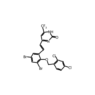 O=c1nc(/C=C/c2cc(Br)cc(Br)c2OCc2ccc(Cl)cc2Cl)cc(C(F)(F)F)[nH]1